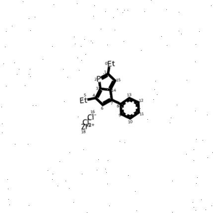 CCC1=PC2=C(CC)C=C(c3ccccc3)C2=C1.[Cl-].[Cl-].[Zr+2]